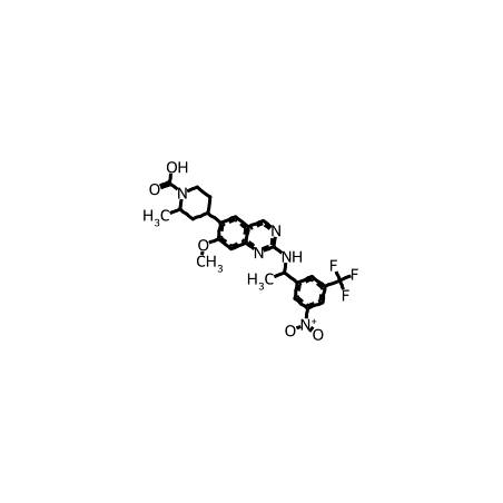 COc1cc2nc(NC(C)c3cc([N+](=O)[O-])cc(C(F)(F)F)c3)ncc2cc1C1CCN(C(=O)O)C(C)C1